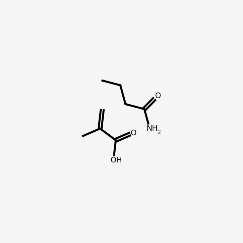 C=C(C)C(=O)O.CCCC(N)=O